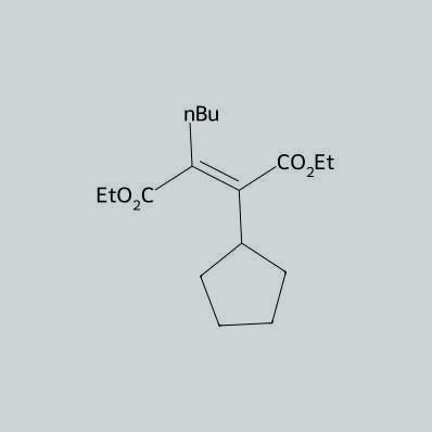 CCCCC(C(=O)OCC)=C(C(=O)OCC)C1CCCC1